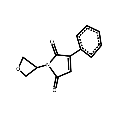 O=C1C=C(c2ccccc2)C(=O)N1C1COC1